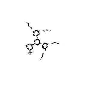 CCCCOc1cc(OCCCN)cc(-c2cc(-c3cc(OCCCN)cc(OCCCN)c3)cc(-c3cc(C)cc(C(F)(F)F)c3)c2)c1